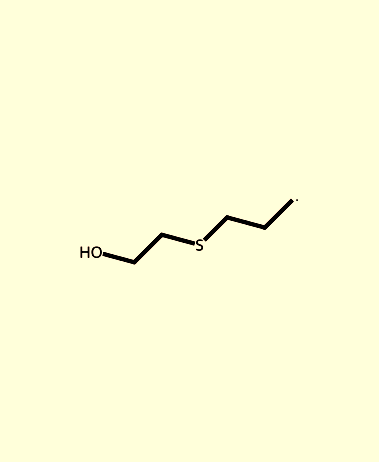 [CH2]CCSCCO